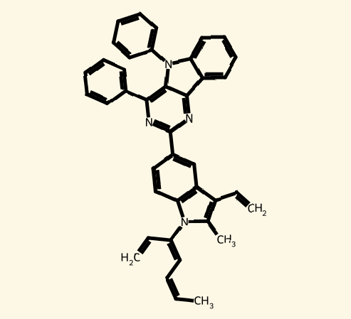 C=C/C(=C\C=C/C)n1c(C)c(C=C)c2cc(-c3nc(-c4ccccc4)c4c(n3)c3ccccc3n4-c3ccccc3)ccc21